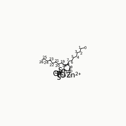 CCCCCCCCc1cccc(SP([O-])([O-])=S)c1CCCCCCCC.[Zn+2]